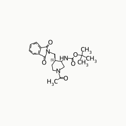 CC(=O)N1CC[C@@H](CN2C(=O)c3ccccc3C2=O)C(NC(=O)OC(C)(C)C)C1